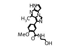 COc1ccc(-c2ncn3c2c(C)nc2[nH]ccc23)cc1C(=O)NCCO